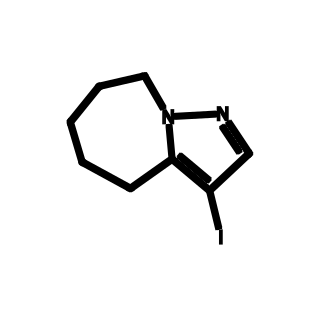 Ic1cnn2c1CCCCC2